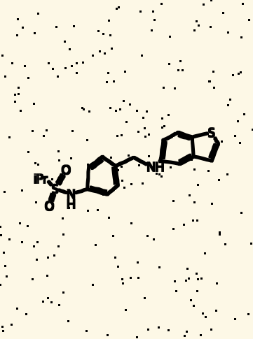 CC(C)S(=O)(=O)Nc1ccc(CNc2ccc3sccc3c2)cc1